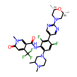 CC1CN(c2cc(F)c(-c3cnc(N4C[C@@H](C)O[C@@H](C)C4)nc3)c(F)c2NC(=O)c2cn(C)c(=O)cc2C(F)(F)F)CCN1C